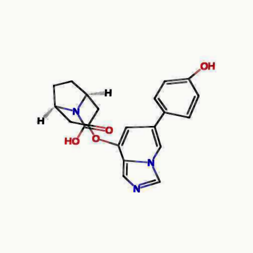 O=C(O)N1[C@@H]2CC[C@H]1CC(Oc1cc(-c3ccc(O)cc3)cn3cncc13)C2